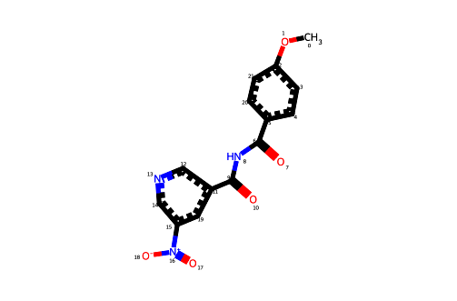 COc1ccc(C(=O)NC(=O)c2cncc([N+](=O)[O-])c2)cc1